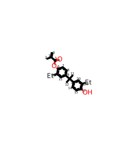 C=C(C)C(=O)Oc1ccc(C(C)(C)c2ccc(O)c(CC)c2)cc1CC